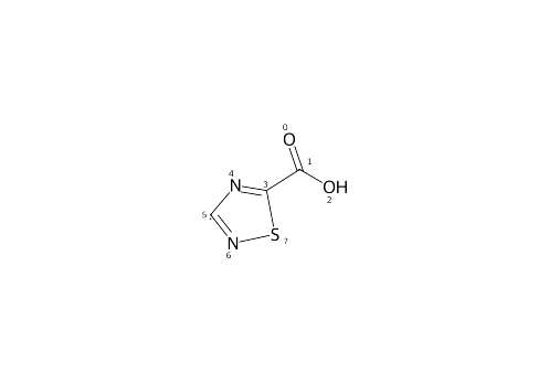 O=C(O)c1n[c]ns1